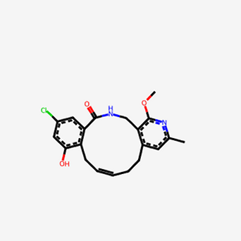 COc1nc(C)cc2c1CNC(=O)c1cc(Cl)cc(O)c1CC=CCC2